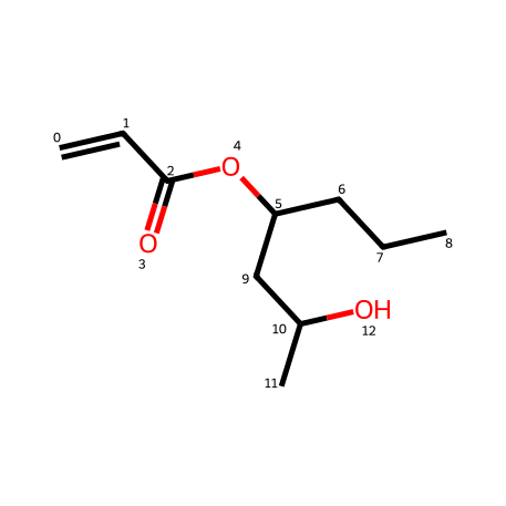 C=CC(=O)OC(CCC)CC(C)O